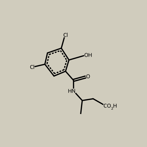 CC(CC(=O)O)NC(=O)c1cc(Cl)cc(Cl)c1O